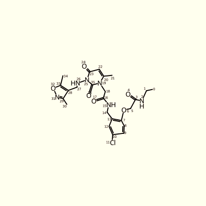 CCNC(=O)COc1ccc(Cl)cc1CNC(=O)Cn1c(C)cc(=O)n(NCc2c(C)noc2C)c1=O